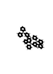 c1ccc(N(c2ccccc2)c2ccc3sc4cc(N(c5ccccc5)c5cc(N(c6ccccc6)c6ccccc6)c6c(c5)sc5ccccc56)c5ccccc5c4c3c2)cc1